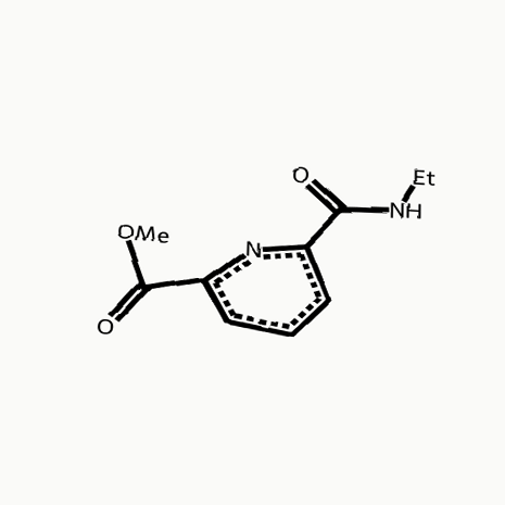 CCNC(=O)c1cccc(C(=O)OC)n1